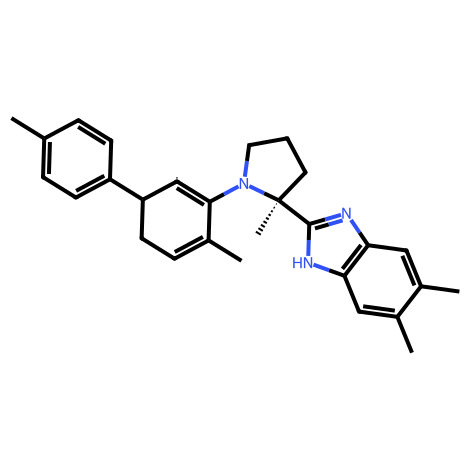 CC1=CCC(c2ccc(C)cc2)[C]=C1N1CCC[C@@]1(C)c1nc2cc(C)c(C)cc2[nH]1